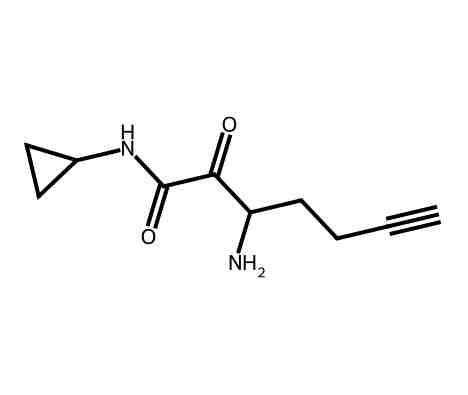 C#CCCC(N)C(=O)C(=O)NC1CC1